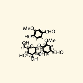 COc1cc(C=O)ccc1O.COc1cc(C=O)ccc1O[C@@H]1O[C@H](CO)[C@@H](O)[C@H](O)[C@H]1O